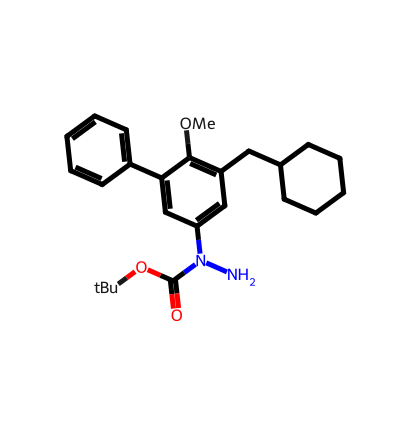 COc1c(CC2CCCCC2)cc(N(N)C(=O)OC(C)(C)C)cc1-c1ccccc1